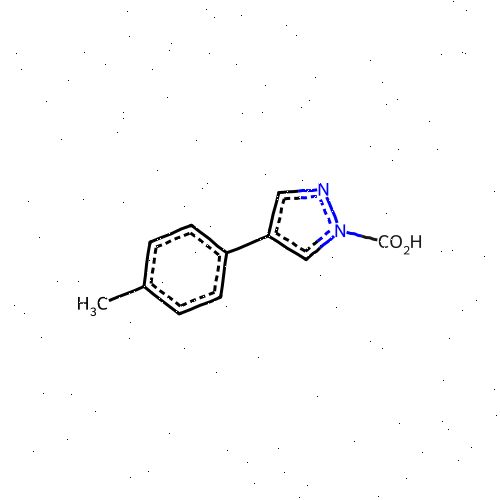 Cc1ccc(-c2cnn(C(=O)O)c2)cc1